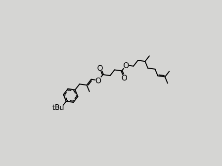 CC(C)=CCCC(C)CCOC(=O)CCC(=O)O/C=C(\C)Cc1ccc(C(C)(C)C)cc1